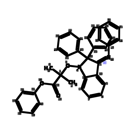 CC(C)(ON1c2ccccc2/C(=N/c2ccccc2)C1(c1ccccc1)c1ccccc1)C(=O)Oc1ccccc1